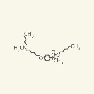 CCCCCCOC(=O)N(C)c1ccc(OCCCCCCN(C)CCCCC)cc1